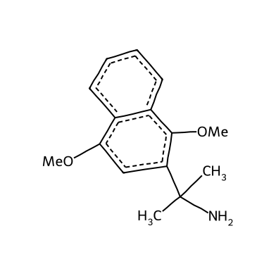 COc1cc(C(C)(C)N)c(OC)c2ccccc12